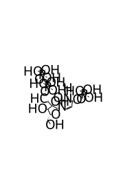 C#C[C@]1(O)[C@H](O)[C@@H](CO)O[C@H]1n1ccc(=O)[nH]c1=O.O=P(O)(O)O.O=P(O)(O)O.O=P(O)(O)O